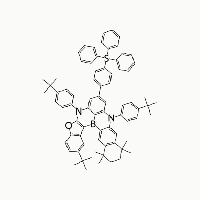 CC(C)(C)c1ccc(N2c3cc4c(cc3B3c5c2cc(-c2ccc(S(c6ccccc6)(c6ccccc6)c6ccccc6)cc2)cc5N(c2ccc(C(C)(C)C)cc2)c2oc5ccc(C(C)(C)C)cc5c23)C(C)(C)CCC4(C)C)cc1